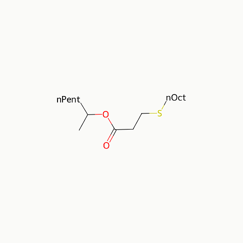 CCCCCCCCSCCC(=O)OC(C)CCCCC